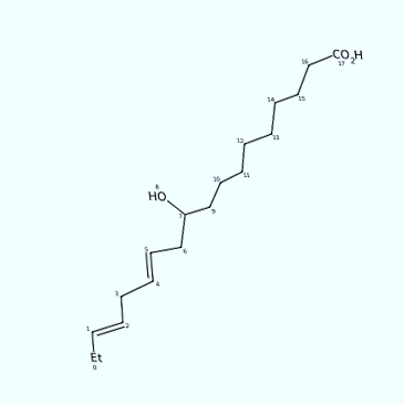 CCC=CCC=CCC(O)CCCCCCCCC(=O)O